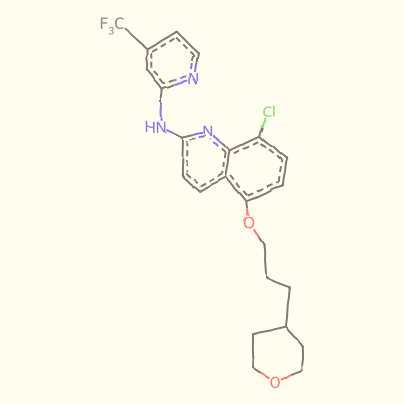 FC(F)(F)c1ccnc(Nc2ccc3c(OCCCC4CCOCC4)ccc(Cl)c3n2)c1